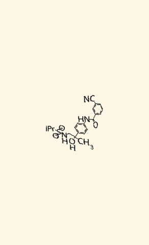 CC(C)S(=O)(=O)NCC(C)(O)c1ccc(NC(=O)c2cccc(C#N)c2)cc1